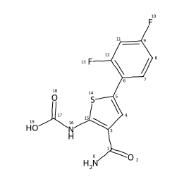 NC(=O)c1cc(-c2ccc(F)cc2F)sc1NC(=O)O